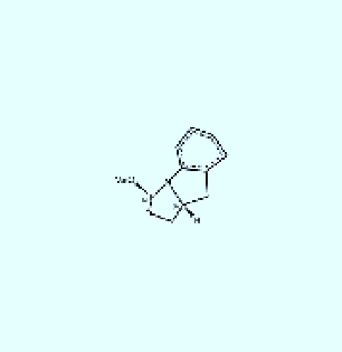 CO[P@]1OC[C@H]2Cc3ccccc3N21